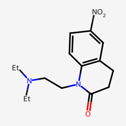 CCN(CC)CCN1C(=O)CCc2cc([N+](=O)[O-])ccc21